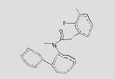 Cc1cccc(CC(=O)N(C)c2ccccc2-c2ccccc2)c1F